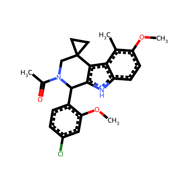 COc1cc(Cl)ccc1C1c2[nH]c3ccc(OC)c(C)c3c2C2(CC2)CN1C(C)=O